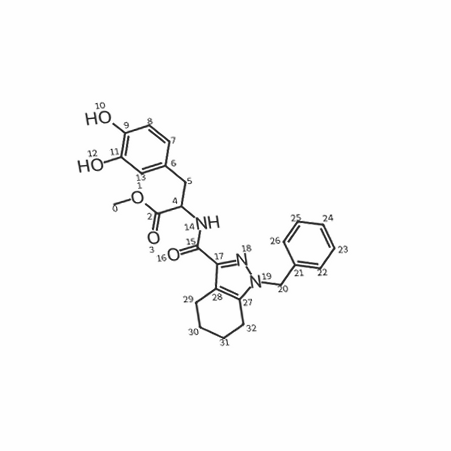 COC(=O)C(Cc1ccc(O)c(O)c1)NC(=O)c1nn(Cc2ccccc2)c2c1CCCC2